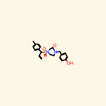 C=CC(c1ccc(C)cc1)S(=O)(=O)N1CCN(Cc2ccc(O)cc2)C(=O)C1